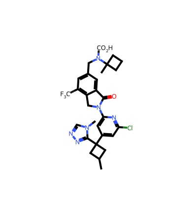 CC1CC(c2cc(Cl)nc(N3Cc4c(cc(CN(C(=O)O)C5(C)CCC5)cc4C(F)(F)F)C3=O)c2)(c2nncn2C)C1